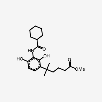 COC(=O)CCCC(C)(C)c1ccc(O)c(NC(=O)C2CCCCC2)c1O